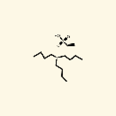 C=CS(=O)(=O)O.CCCCN(CCCC)CCCC